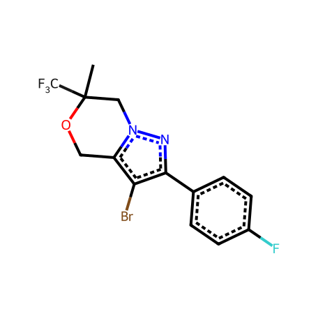 CC1(C(F)(F)F)Cn2nc(-c3ccc(F)cc3)c(Br)c2CO1